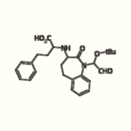 CC(C)(C)OC(C=O)N1C(=O)C(NC(CCc2ccccc2)C(=O)O)CCc2ccccc21